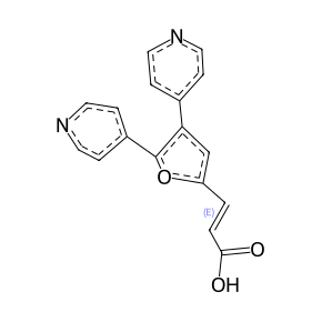 O=C(O)/C=C/c1cc(-c2ccncc2)c(-c2ccncc2)o1